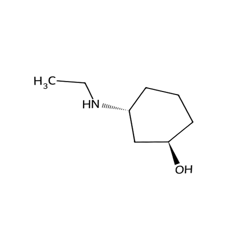 CCN[C@@H]1CCC[C@@H](O)C1